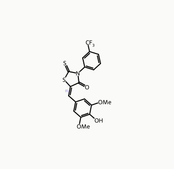 COc1cc(/C=C2/SC(=S)N(c3cccc(C(F)(F)F)c3)C2=O)cc(OC)c1O